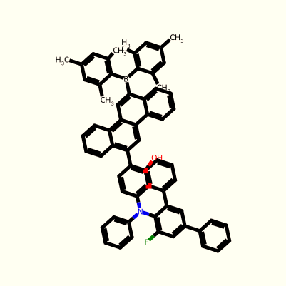 Cc1cc(C)c(B(c2c(C)cc(C)cc2C)c2cc3c4ccccc4c(-c4ccc(N(c5ccccc5)c5c(F)cc(-c6ccccc6)cc5-c5ccccc5)cc4O)cc3c3ccccc23)c(C)c1